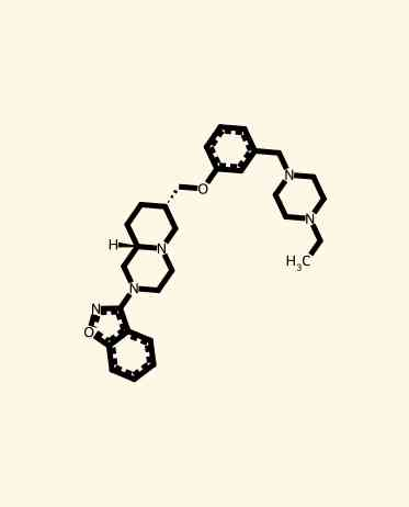 CCN1CCN(Cc2cccc(OC[C@H]3CC[C@H]4CN(c5noc6ccccc56)CCN4C3)c2)CC1